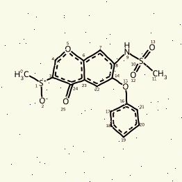 C[S+]([O-])c1coc2cc(NS(C)(=O)=O)c(Oc3ccccc3)cc2c1=O